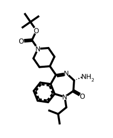 CC(C)CN1C(=O)[C@@H](N)N=C(C2CCN(C(=O)OC(C)(C)C)CC2)c2ccccc21